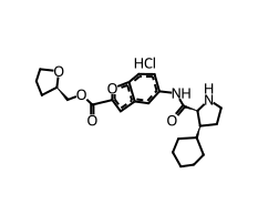 Cl.O=C(OC[C@H]1CCCO1)c1cc2cc(NC(=O)[C@H]3NCC[C@H]3C3CCCCC3)ccc2o1